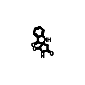 O=C1CC2(Nc3ccccc3C2=O)C(=O)N1